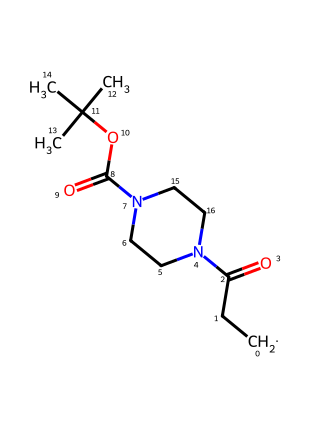 [CH2]CC(=O)N1CCN(C(=O)OC(C)(C)C)CC1